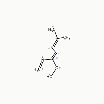 C=N/C(=C\N=C(C)C)OO